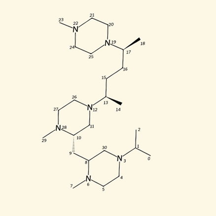 CC(C)N1CCN(C)C(C[C@H]2CN([C@H](C)CC[C@H](C)N3CCN(C)CC3)CCN2C)C1